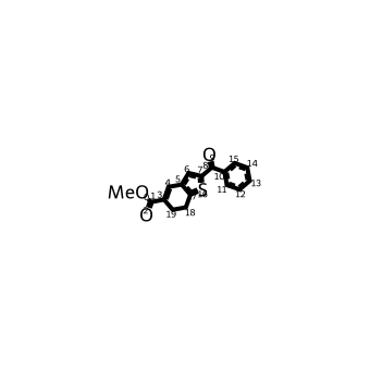 COC(=O)C1=Cc2cc(C(=O)c3ccccc3)sc2CC1